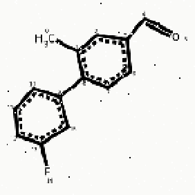 Cc1cc(C=O)ccc1-c1cccc(F)c1